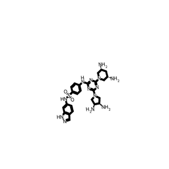 N[C@@H]1C[C@H](N)CN(c2nc(Nc3ccc(S(=O)(=O)Nc4ccc5cn[nH]c5c4)cc3)nc(N3C[C@@H](N)[C@@H](N)C3)n2)C1